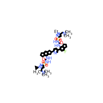 CCn1nc(S(=O)(=O)NC(=O)Nc2c(-c3ccc(C4Cc5cc6c(c(NC(=O)NS(=O)(=O)c7cc(C(C)N(C)C)n(C8CC8)n7)c5C4)CCC6)nc3)cc(F)c3c2CCC3)cc1CN(C)C